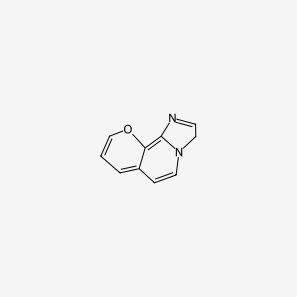 C1=COC2=C3N=CCN3C=CC2=C1